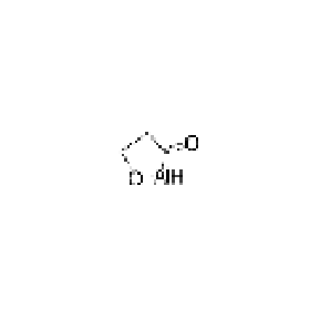 O=[C]1CC[O][AlH]1